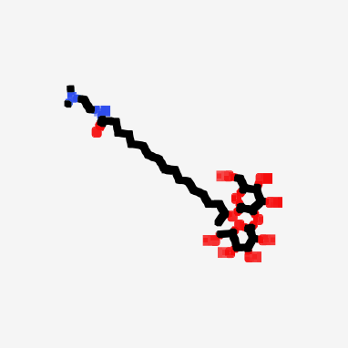 CC(CCCCCCC=CCCCCCCCC(=O)NCCN(C)C)OC1OC(CO)C(O)C(O)C1OC1OC(CO)C(O)C(O)C1O